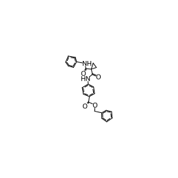 O=C(OCc1ccccc1)c1ccc(NC(=O)C2(C(=O)Nc3ccccc3)CC2)cc1